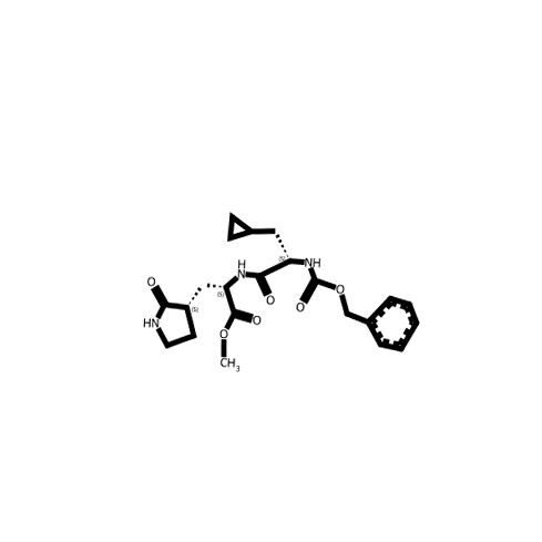 COC(=O)[C@H](C[C@@H]1CCNC1=O)NC(=O)[C@H](CC1CC1)NC(=O)OCc1ccccc1